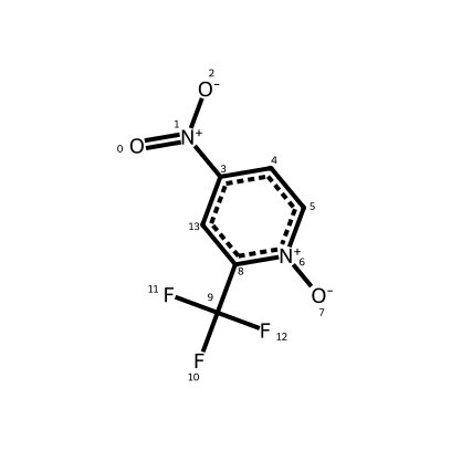 O=[N+]([O-])c1cc[n+]([O-])c(C(F)(F)F)c1